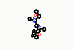 c1ccc(-c2nc(-c3ccc4c(c3)nc(-c3ccccc3)c3cc5c(cc34)C3(c4ccccc4O5)c4ccccc4-c4ccccc43)cc(-c3cccc4c3oc3ccccc34)n2)cc1